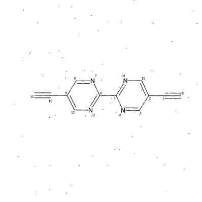 C#Cc1cnc(-c2ncc(C#C)cn2)nc1